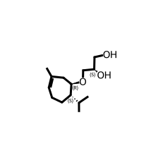 CC1=CCC[C@@H](C(C)C)[C@H](OC[C@@H](O)CO)C1